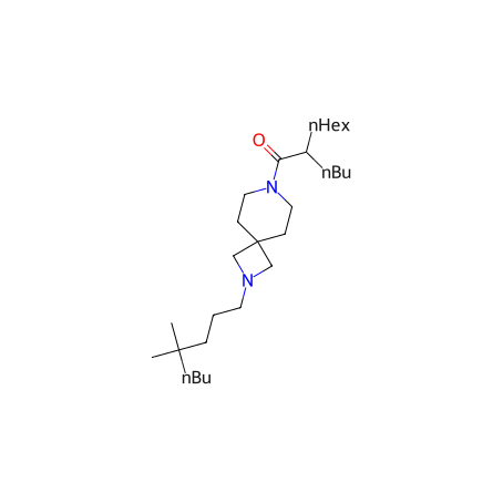 CCCCCCC(CCCC)C(=O)N1CCC2(CC1)CN(CCCC(C)(C)CCCC)C2